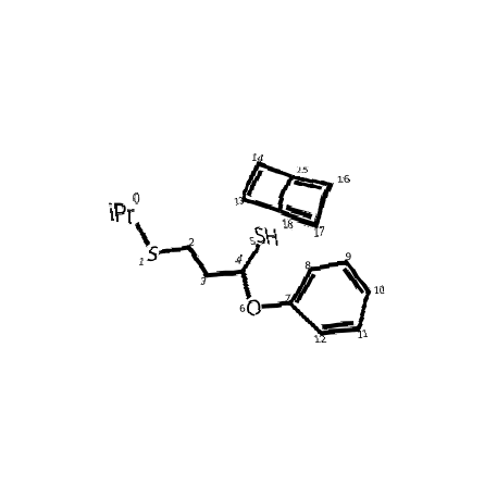 CC(C)SCCC(S)Oc1ccccc1.c1cc2ccc1-2